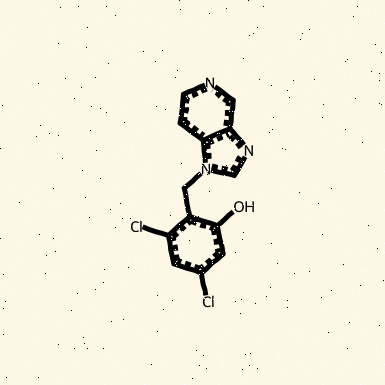 Oc1cc(Cl)cc(Cl)c1Cn1cnc2cnccc21